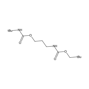 CC(C)(C)COC(=O)NCCCOC(=O)NC(C)(C)C